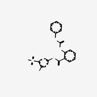 Cc1sc(NC(=O)c2ccccc2OC(=O)Oc2ccccc2)nc1S(C)(=O)=O